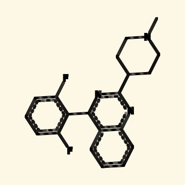 CN1CCC(c2nc(-c3c(F)cccc3F)c3ccccc3n2)CC1